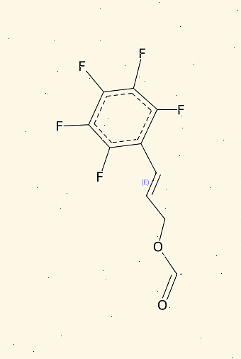 O=[C]OC/C=C/c1c(F)c(F)c(F)c(F)c1F